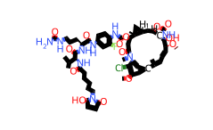 COc1cc2cc(c1Cl)N(C)C(=O)C[C@H](OC(=O)Nc1ccc(NC(=O)[C@H](CCCNC(N)=O)NC(=O)[C@@H](NC(=O)CCCCCN3C(=O)C=CC3O)C(C)C)cc1F)[C@]1(C)C[C@H]1[C@H](C)[C@@H]1C[C@@](O)(NC(=O)O1)[C@H](OC)/C=C/C=C(\C)C2